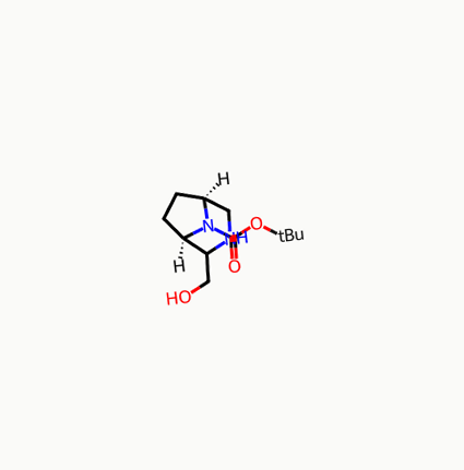 CC(C)(C)OC(=O)N1[C@H]2CC[C@@H]1C(CO)NC2